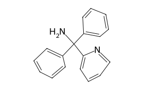 NC(c1ccccc1)(c1ccccc1)c1ccccn1